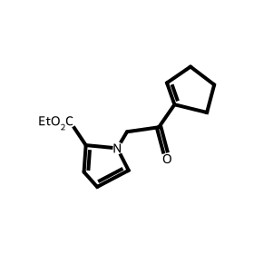 CCOC(=O)c1cccn1CC(=O)C1=CCCC1